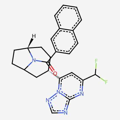 O=C(c1ccc2ccccc2c1)N1C2CC[C@@H]1CC[C@H](c1cc(C(F)F)nc3ncnn13)C2